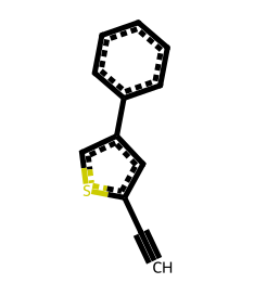 C#Cc1cc(-c2ccccc2)cs1